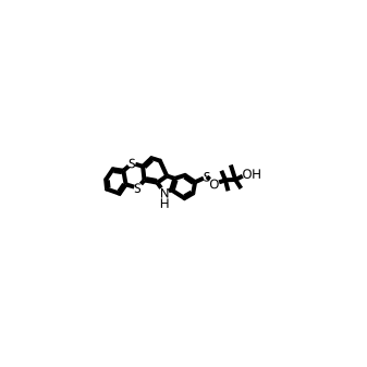 CC(C)(O)C(C)(C)OSc1ccc2c(c1)C1CC=C3Sc4ccccc4SC3=C1N2